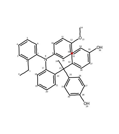 CCc1ccccc1N(c1ccc(OC)cc1)c1ccccc1C(C)(c1ccc(O)cc1)c1ccc(O)cc1